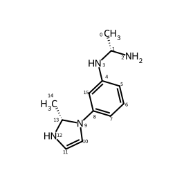 C[C@H](N)Nc1cccc(N2C=CN[C@@H]2C)c1